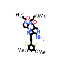 C=CC(=O)N1CC[C@H](n2nc(C#Cc3c(F)c(OC)cc(OC)c3F)c3c(N)ncc(-c4ncc(COC)o4)c32)C1